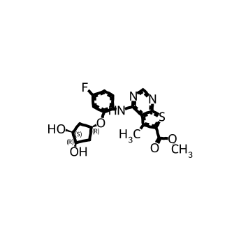 COC(=O)c1sc2ncnc(Nc3ccc(F)cc3O[C@H]3C[C@@H](O)[C@@H](O)C3)c2c1C